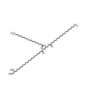 CCCCCCCCCCCCCCCCCC(=O)OCC(COC(=O)CCCCCCCCCCCCCCCCCCC(O)CO)OC(=O)CCCCCCCCCCCCCCCCC